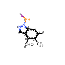 Cc1cc2c(cnn2PI)c(C=O)c1C(F)(F)F